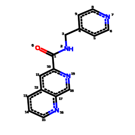 O=C(NCc1ccncc1)c1cc2cccnc2cn1